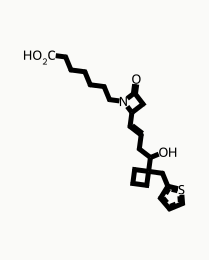 O=C(O)CCCCCCN1C(=O)CC1/C=C/CC(O)C1(Cc2cccs2)CCC1